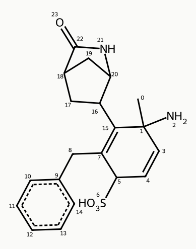 CC1(N)C=CC(S(=O)(=O)O)C(Cc2ccccc2)=C1C1CC2CC1NC2=O